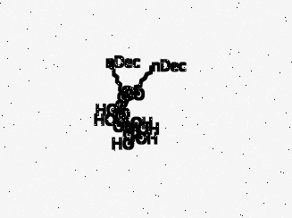 CCCCCCCCCCCCCCCCCC(=O)OCC(COC1OC(COC2OC(CO)C(O)C(O)C2O)C(O)C(O)C1O)OC(=O)CCCCCCCCCCCCCCCCC